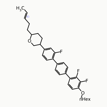 C/C=C/CCC1CCC(c2ccc(-c3ccc(-c4ccc(OCCCCCC)c(F)c4F)cc3)c(F)c2)CO1